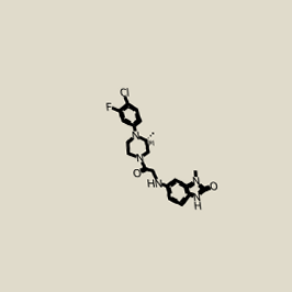 C[C@@H]1CN(C(=O)CNc2ccc3[nH]c(=O)n(C)c3c2)CCN1c1ccc(Cl)c(F)c1